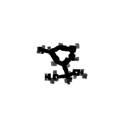 CC(C)c1cnnc(C(C)(C)F)c1